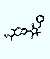 CC(=N)/C(Cn1cc(N2C(=O)N(Cc3ccccn3)C(C)(C)C2=O)cn1)=C(/C)P